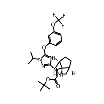 CC(C)n1nc(N[C@@H]2[C@@H]3CC[C@H]2CN(C(=O)OC(C)(C)C)C3)nc1Oc1cccc(OC(F)(F)F)c1